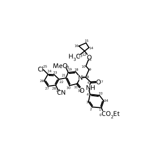 CCOC(=O)c1ccc(NC(=O)C(CCOC2(C)CCC2)n2cc(OC)c(-c3cc(Cl)ccc3C#N)cc2=O)cc1